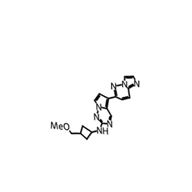 COCC1CC(Nc2ncc3c(-c4ccc5nccn5n4)ccn3n2)C1